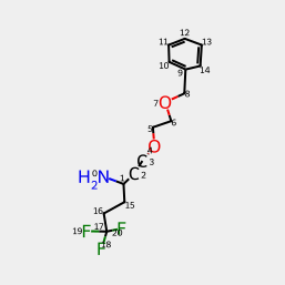 NC(CCOCCOCc1ccccc1)CCC(F)(F)F